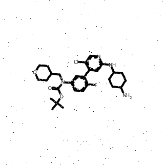 CC(C)(C)OC(=O)N(CC1CCOCC1)c1ccc(F)c(-c2cc(NC3CCC(N)CC3)ncc2Cl)c1